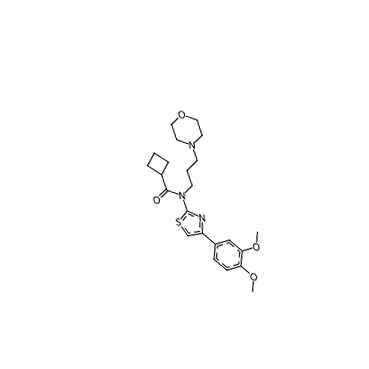 COc1ccc(-c2csc(N(CCCN3CCOCC3)C(=O)C3CCC3)n2)cc1OC